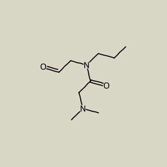 CCCN(CC=O)C(=O)CN(C)C